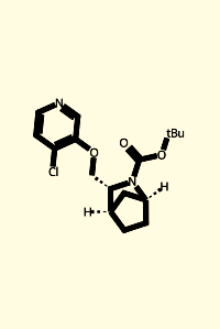 CC(C)(C)OC(=O)N1[C@H]2CC[C@H](C2)[C@@H]1COc1cnccc1Cl